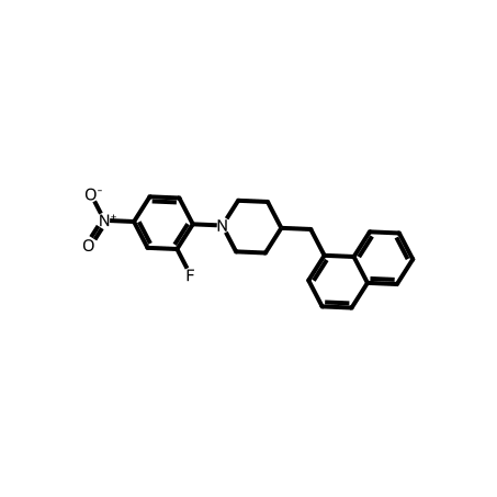 O=[N+]([O-])c1ccc(N2CCC(Cc3cccc4ccccc34)CC2)c(F)c1